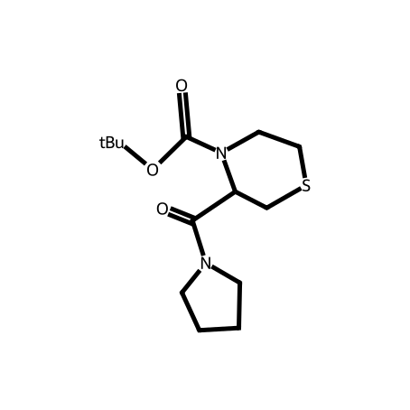 CC(C)(C)OC(=O)N1CCSCC1C(=O)N1CCCC1